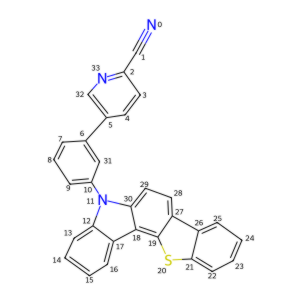 N#Cc1ccc(-c2cccc(-n3c4ccccc4c4c5sc6ccccc6c5ccc43)c2)cn1